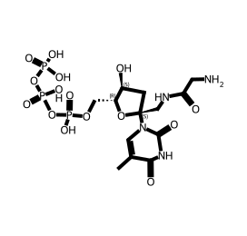 Cc1cn([C@@]2(CNC(=O)CN)C[C@H](O)[C@@H](COP(=O)(O)OP(=O)(O)OP(=O)(O)O)O2)c(=O)[nH]c1=O